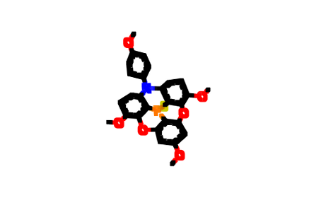 COc1ccc(N2c3ccc(OC)c4c3P3(=S)c5c(cc(OC)cc5Oc5c(OC)ccc2c53)O4)cc1